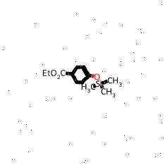 CCOC(=O)C1CC=C(O[Si](C)(C)C)CC1